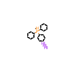 C[PH](c1ccccc1)(c1ccccc1)c1ccccc1.I.I.I